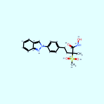 CC(CCc1ccc(-n2cc3ccccc3n2)cc1)(C(=O)NO)S(C)(=O)=O